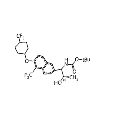 C[C@@H](O)C(NC(=O)OC(C)(C)C)c1ccc2c(C(F)(F)F)c(OC3CCC(C(F)(F)F)CC3)ccc2c1